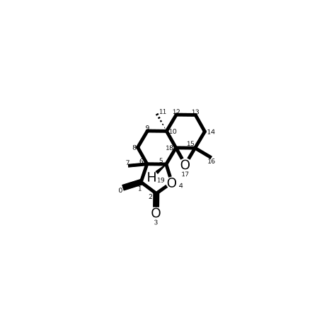 C=C1C(=O)O[C@@H]2C1(C)CC[C@@]1(C)CCCC3(C)OC231